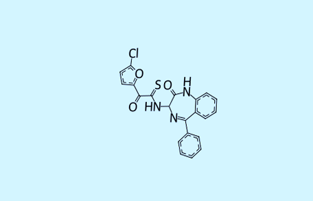 O=C(C(=S)NC1N=C(c2ccccc2)c2ccccc2NC1=O)c1ccc(Cl)o1